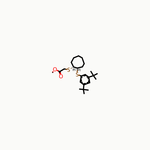 COC(=O)CS[C@@H]1CCCCCC[C@H]1Sc1cc(C(C)(C)C)cc(C(C)(C)C)c1